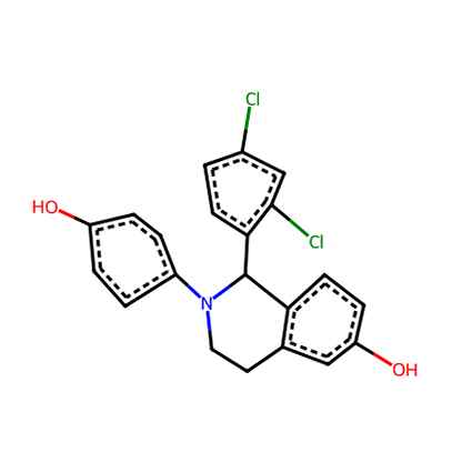 Oc1ccc(N2CCc3cc(O)ccc3C2c2ccc(Cl)cc2Cl)cc1